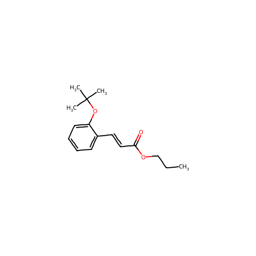 CCCOC(=O)/C=C/c1ccccc1OC(C)(C)C